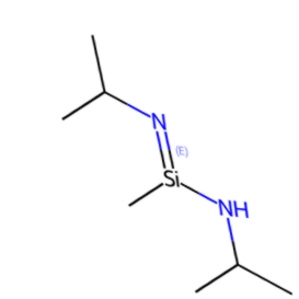 CC(C)/N=[Si](\C)NC(C)C